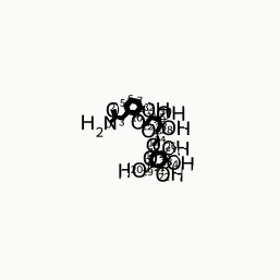 NC(=O)Cc1ccccc1O[C@@H]1O[C@H](CO[C@@H]2O[C@H](CO)[C@@H](O)[C@H](O)[C@H]2O)[C@@H](O)[C@H](O)[C@H]1O